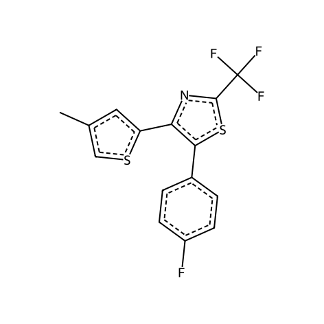 Cc1csc(-c2nc(C(F)(F)F)sc2-c2ccc(F)cc2)c1